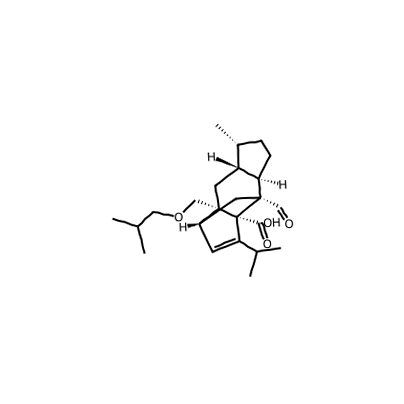 CC(C)COC[C@@]12C[C@@H]3[C@H](C)CC[C@H]3[C@]3(C=O)C[C@@H]1C=C(C(C)C)[C@@]23C(=O)O